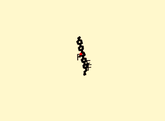 C=CCCc1ccc(-c2ccc(-c3ccc(C4=CCC(C5CCC(C=C)CC5)CC4)cc3F)cc2)c(F)c1F